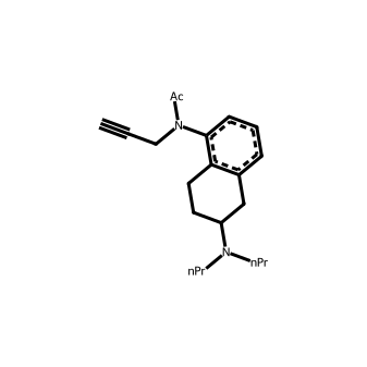 C#CCN(C(C)=O)c1cccc2c1CCC(N(CCC)CCC)C2